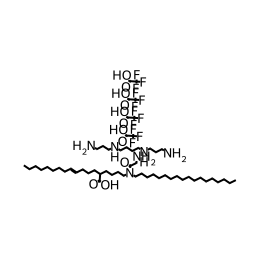 CCCCCCCC/C=C/CCCC(CCCCN(CCCCCCCCCCCCCCCCCC)C(=O)CN)C(=O)O.NCCCNCCCCNCCCN.O=C(O)C(F)(F)F.O=C(O)C(F)(F)F.O=C(O)C(F)(F)F.O=C(O)C(F)(F)F